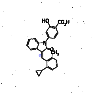 Cc1cccc(C2CC2)c1/C=C1\C(=O)N(c2ccc(C(=O)O)c(O)c2)c2ccccc21